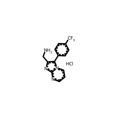 Cl.NCc1nc2ncccn2c1-c1ccc(C(F)(F)F)cc1